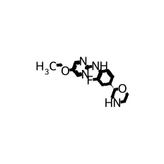 CCOc1cnc(NC2=C(F)CC([C@H]3CNCCO3)C=C2)nc1